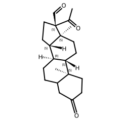 CC(=O)[C@@]1(C=O)CC[C@H]2[C@@H]3CCC4CC(=O)CC[C@]4(C)[C@H]3CC[C@@]21C